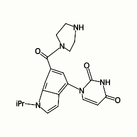 CC(C)n1ccc2c(-n3ccc(=O)[nH]c3=O)cc(C(=O)N3CCNCC3)cc21